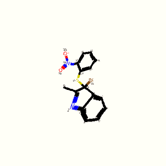 CC1=Nc2ccccc2C1(Br)Sc1ccccc1[N+](=O)[O-]